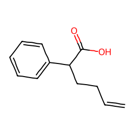 C=CCCC(C(=O)O)c1ccccc1